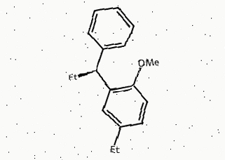 [CH2]C[C@@H](c1ccccc1)c1cc(CC)ccc1OC